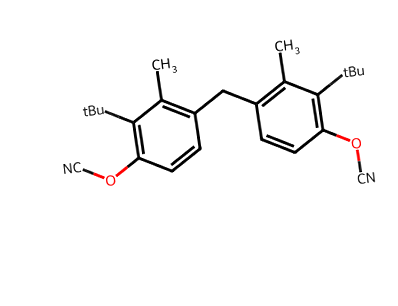 Cc1c(Cc2ccc(OC#N)c(C(C)(C)C)c2C)ccc(OC#N)c1C(C)(C)C